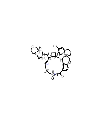 CO[C@]1(CN2CCN3CCOC[C@@H]3C2)/C=C/C[C@H](C)C/[SH](=O)=N\C(=O)c2ccc3c(c2)N(C[C@@H]2CC[C@H]21)C[C@@]1(CCCc2cc(Cl)ccc21)CO3